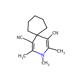 CC1=C(C#N)C2(CCCCC2)C(C#N)=C(C)N1C